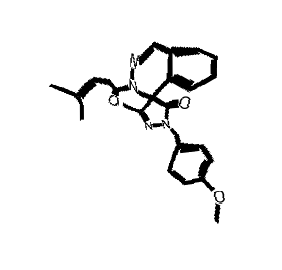 COc1ccc(N2N=C(C)C3(C2=O)c2ccccc2C=NN3C(=O)C=C(C)C)cc1